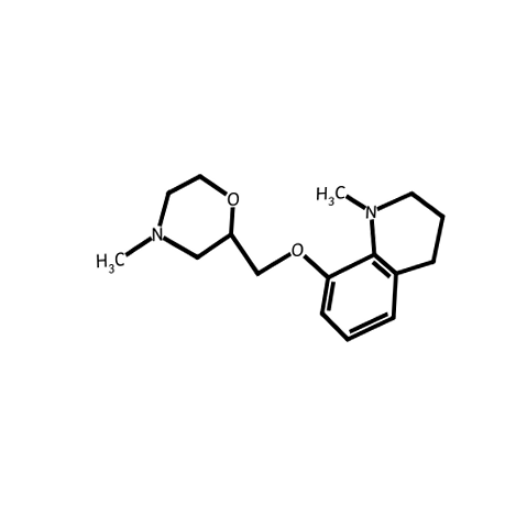 CN1CCOC(COc2cccc3c2N(C)CCC3)C1